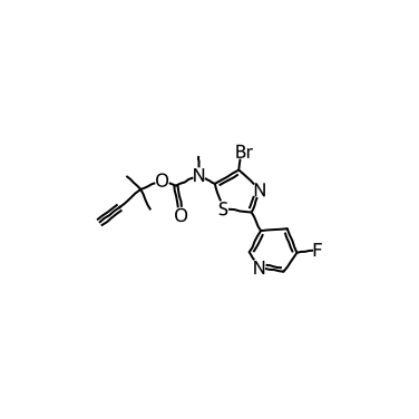 C#CC(C)(C)OC(=O)N(C)c1sc(-c2cncc(F)c2)nc1Br